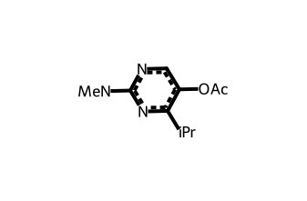 CNc1ncc(OC(C)=O)c(C(C)C)n1